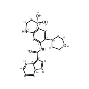 O=C(Nc1cc2c(cc1N1CCOCC1)S(O)(O)CCN2)c1cnn2cccnc12